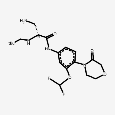 CC(C)(C)CN[C@H](CN)C(=O)Nc1ccc(N2CCOCC2=O)c(OC(F)F)c1